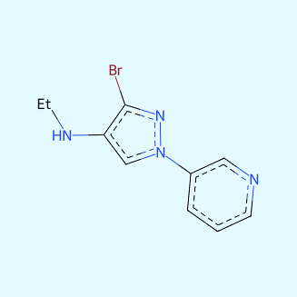 CCNc1cn(-c2cccnc2)nc1Br